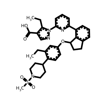 CCc1cc(OC2CCc3cccc(-c4cccc(-n5ncc(C(=O)O)c5CC)n4)c32)ccc1C1CCN(S(C)(=O)=O)CC1